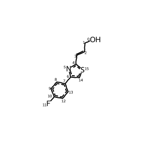 OCC=Cc1nc(-c2ccc(F)cc2)cs1